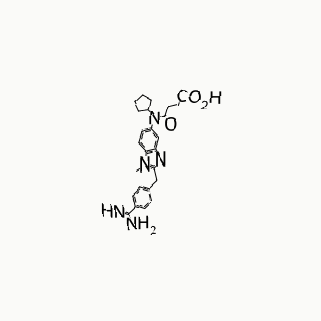 Cn1c(Cc2ccc(C(=N)N)cc2)nc2cc(N(C(=O)CCC(=O)O)C3CCCC3)ccc21